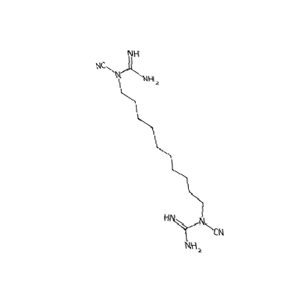 N#CN(CCCCCCCCCCN(C#N)C(=N)N)C(=N)N